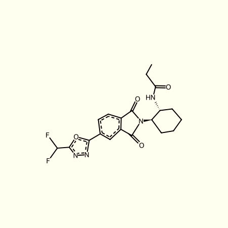 CCC(=O)N[C@@H]1CCCC[C@H]1N1C(=O)c2ccc(-c3nnc(C(F)F)o3)cc2C1=O